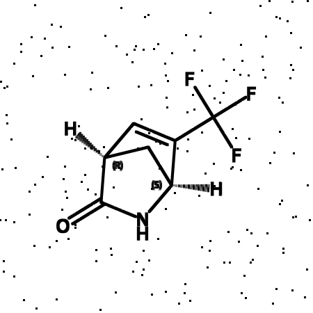 O=C1N[C@H]2C[C@@H]1C=C2C(F)(F)F